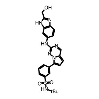 CC(C)(C)NS(=O)(=O)c1cccc(-c2ccc3cnc(Nc4ccc5nc(CO)[nH]c5c4)nn23)c1